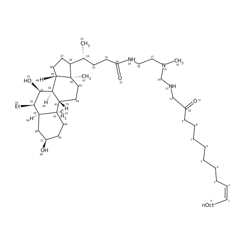 CCCCCCCC/C=C\CCCCCCCC(=O)CNCN(C)CCNC(=O)CC[C@@H](C)C1CC[C@H]2[C@@H]3[C@H](O)[C@H](CC)[C@@H]4C[C@H](O)CC[C@]4(C)[C@H]3CC[C@]12C